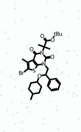 Cc1c(Br)sc2c1c(=O)n(C(C)(C)C(=O)OC(C)(C)C)c(=O)n2CC(OC1CCC(C)CC1)c1ccccc1